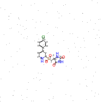 C[C@]1(CS(=O)(=O)C2CC(c3ccc(Cl)cc3)=CCN2)NC(=O)NC1=O